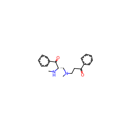 CN[C@@H](CN(C)CCC(=O)c1ccccc1)C(=O)c1ccccc1